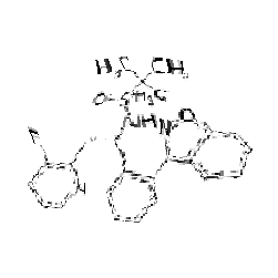 CC(C)(C)[S+]([O-])N[C@@H](Cc1ncccc1F)c1ccccc1-c1noc2ccccc12